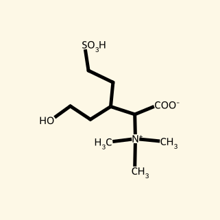 C[N+](C)(C)C(C(=O)[O-])C(CCO)CCS(=O)(=O)O